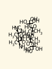 CC(C)(N=NC(C)(C)C(=O)NC(CO)(CO)CO)C(=O)NC(CO)(CO)CO.CCC(C)C(C)(C#N)N=NC(C)(C#N)C(C)CC